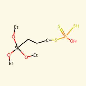 CCO[Si](CCCSP(O)(=S)S)(OCC)OCC